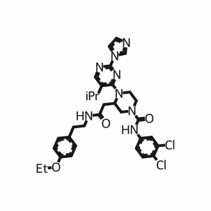 CCOc1ccc(CCNC(=O)CC2CN(C(=O)Nc3ccc(Cl)c(Cl)c3)CCN2c2nc(-n3ccnc3)ncc2C(C)C)cc1